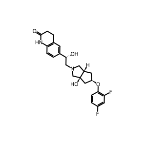 O=C1CCc2cc([C@H](O)CN3C[C@@H]4C[C@@H](Oc5ccc(F)cc5F)C[C@]4(O)C3)ccc2N1